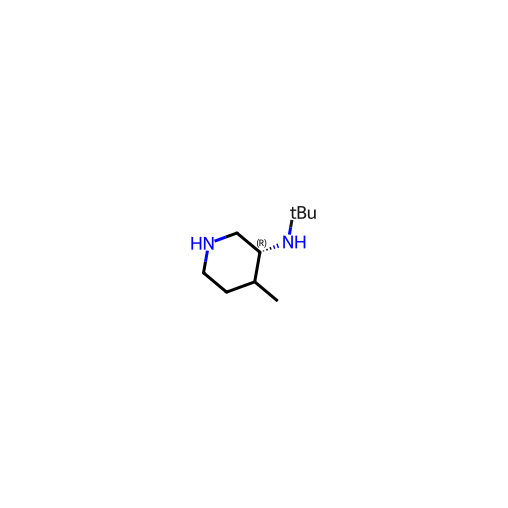 CC1CCNC[C@@H]1NC(C)(C)C